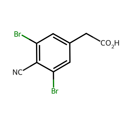 N#Cc1c(Br)cc(CC(=O)O)cc1Br